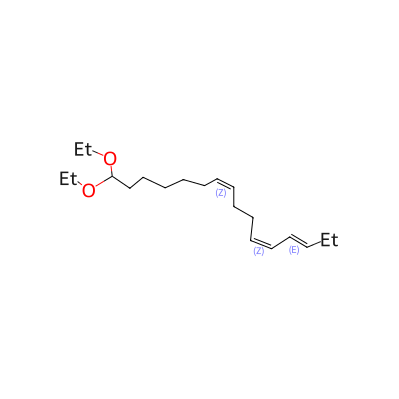 CC/C=C/C=C\CC/C=C\CCCCCC(OCC)OCC